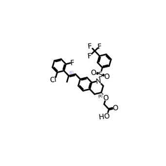 C/C(=C\c1ccc2c(c1)N(S(=O)(=O)c1cccc(C(F)(F)F)c1)C[C@H](OCC(=O)O)C2)c1c(F)cccc1Cl